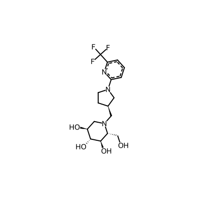 OC[C@@H]1[C@@H](O)[C@H](O)[C@@H](O)CN1C[C@H]1CCN(c2cccc(C(F)(F)F)n2)C1